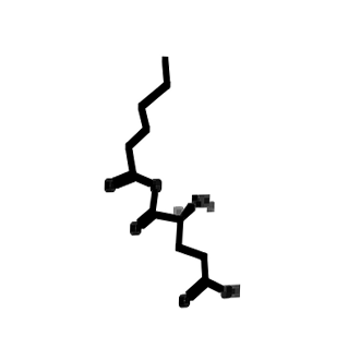 CCCCCC(=O)OC(=O)[C@@H](N)CCC(=O)O